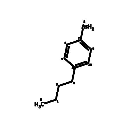 CCCCc1ccc([AsH2])cc1